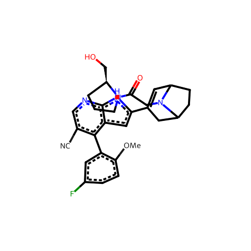 COc1ccc(F)cc1-c1c(C#N)cnc2[nH]c(C3=CC4CCC(C3)N4CC(=O)N3CCC[C@H]3CO)cc12